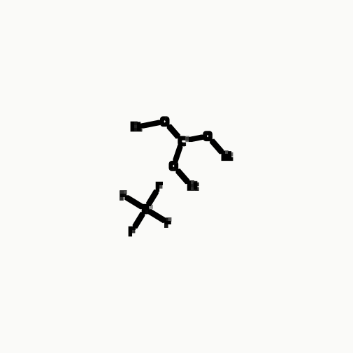 CCO[C+](OCC)OCC.F[B-](F)(F)F